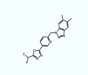 Cc1cc2nnn(Cc3ccc(-c4nnc(C(F)F)o4)cn3)c2cc1C